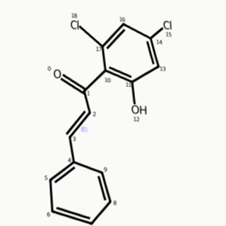 O=C(/C=C/c1ccccc1)c1c(O)cc(Cl)cc1Cl